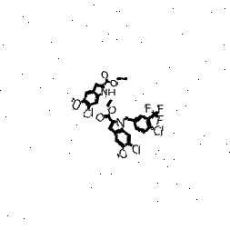 CCOC(=O)c1cc2cc(OC)c(Cl)cc2[nH]1.CCOC(=O)c1cc2cc(OC)c(Cl)cc2n1Cc1ccc(Cl)c(C(F)(F)F)c1